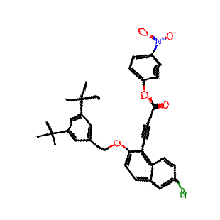 CC(C)(C)c1cc(COc2ccc3cc(Br)ccc3c2C#CC(=O)Oc2ccc([N+](=O)[O-])cc2)cc(C(C)(C)C)c1